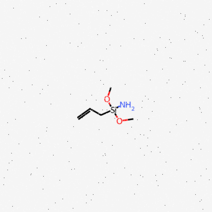 C=CC[Si](N)(OC)OC